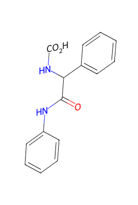 O=C(O)NC(C(=O)Nc1ccccc1)c1ccccc1